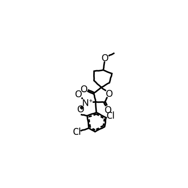 COC1CCC2(CC1)OC(=O)C(c1c(Cl)ccc(Cl)c1C)([N+](=O)[O-])C2=O